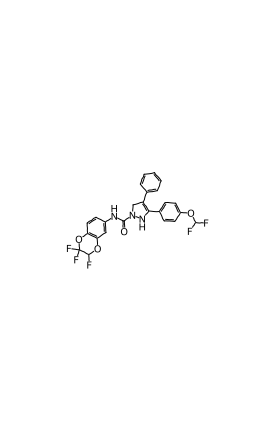 O=C(Nc1ccc2c(c1)OC(F)C(F)(F)O2)N1CC(c2ccccc2)=C(c2ccc(OC(F)F)cc2)N1